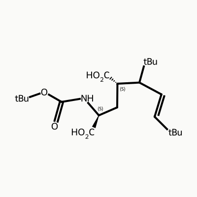 CC(C)(C)C=CC([C@H](C[C@H](NC(=O)OC(C)(C)C)C(=O)O)C(=O)O)C(C)(C)C